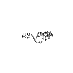 O=C(O)CN(CCN(CC(=O)O)CC(=O)O)CCN(CC(=O)O)CC(=O)NCCC(O)(P(=O)(O)O)P(=O)(O)O